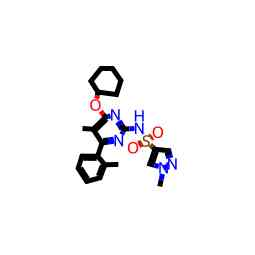 Cc1ccccc1-c1nc(NS(=O)(=O)c2cnn(C)c2)nc(OC2CCCCC2)c1C